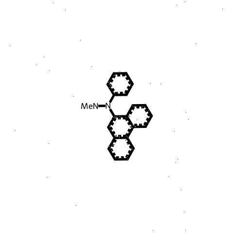 CNN(c1ccccc1)c1cc2ccccc2c2ccccc12